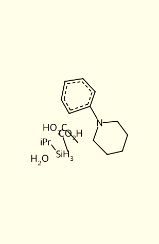 CC(=O)O.CC(=O)O.CC(C)[SiH3].O.c1ccc(N2CCCCC2)cc1